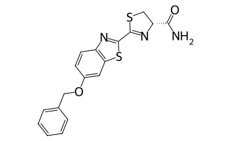 NC(=O)[C@H]1CSC(c2nc3ccc(OCc4ccccc4)cc3s2)=N1